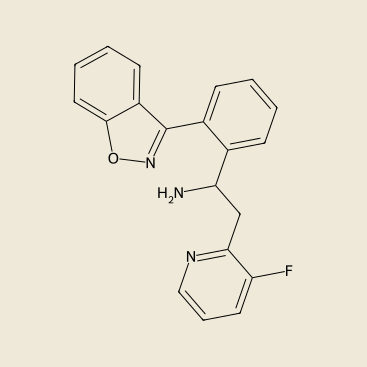 NC(Cc1ncccc1F)c1ccccc1-c1noc2ccccc12